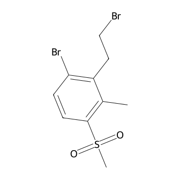 Cc1c(S(C)(=O)=O)ccc(Br)c1CCBr